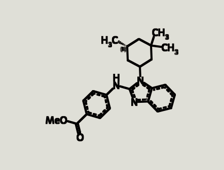 COC(=O)c1ccc(Nc2nc3ccccc3n2C2C[C@H](C)CC(C)(C)C2)cc1